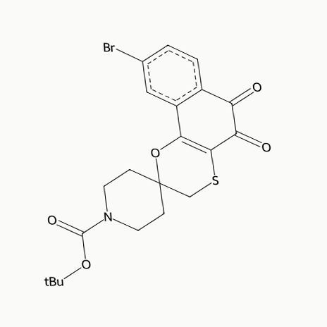 CC(C)(C)OC(=O)N1CCC2(CC1)CSC1=C(O2)c2cc(Br)ccc2C(=O)C1=O